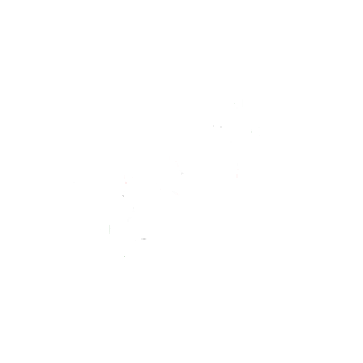 CC1CCCC(COC(=O)c2c(Cl)c(Cl)cc(Cl)c2OC(=O)C(=O)Oc2c(Cl)cc(Cl)c(Cl)c2C(=O)OCC2CCCC(C)C2)C1